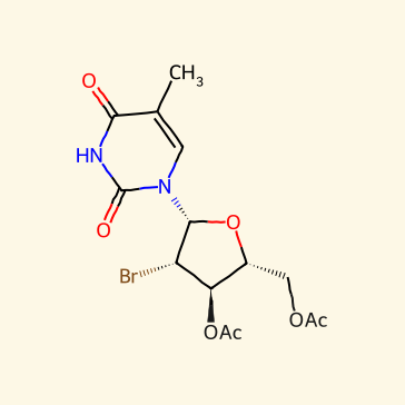 CC(=O)OC[C@H]1O[C@@H](n2cc(C)c(=O)[nH]c2=O)[C@@H](Br)[C@@H]1OC(C)=O